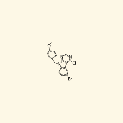 COc1ccc(Cn2c3ccc(Br)cc3c3c(Cl)ncnc32)cc1